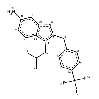 CC(C)Cn1c(Cc2ccc(C(F)(F)F)cc2)nc2cc(N)ccc21